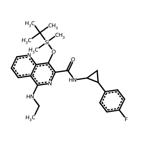 CCNc1nc(C(=O)NC2CC2c2ccc(F)cc2)c(O[Si](C)(C)C(C)(C)C)c2ncccc12